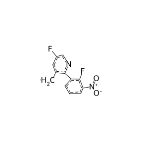 [CH2]c1cc(F)cnc1-c1cccc([N+](=O)[O-])c1F